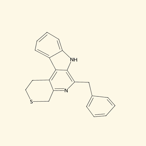 c1ccc(Cc2nc3c(c4c2[nH]c2ccccc24)CCSC3)cc1